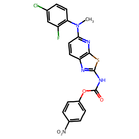 CN(c1ccc2nc(NC(=O)Oc3ccc([N+](=O)[O-])cc3)sc2n1)c1ccc(Cl)cc1F